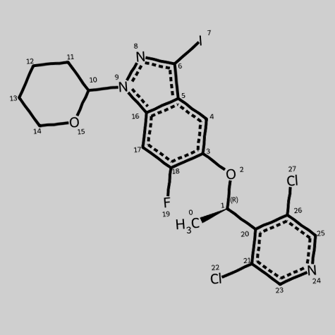 C[C@@H](Oc1cc2c(I)nn(C3CCCCO3)c2cc1F)c1c(Cl)cncc1Cl